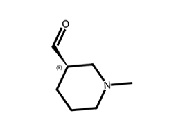 CN1CCC[C@@H](C=O)C1